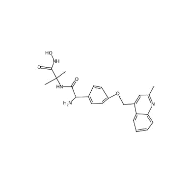 Cc1cc(COc2ccc(C(N)C(=O)NC(C)(C)C(=O)NO)cc2)c2ccccc2n1